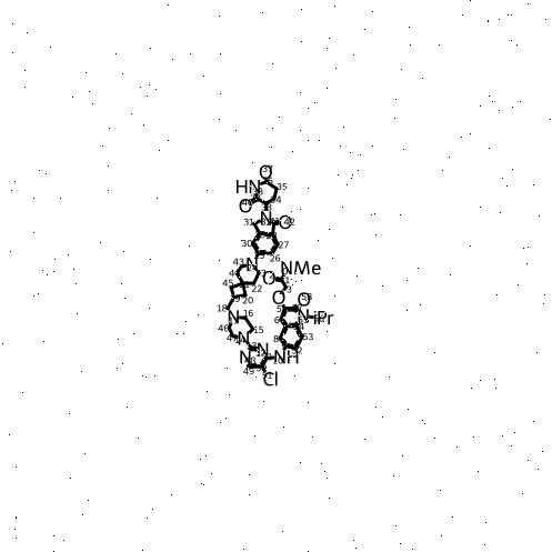 CNC(=O)COc1cc2cc(Nc3nc(N4CCN(CC5CC6(CCN(c7ccc8c(c7)CN(C7CCC(=O)NC7=O)C8=O)CC6)C5)CC4)ncc3Cl)ccc2n(C(C)C)c1=O